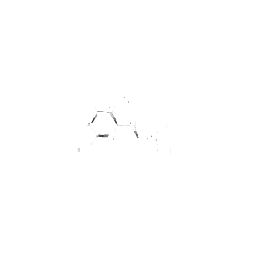 CCC(C)c1ccc(C#N)c(N=CN(C)C)n1